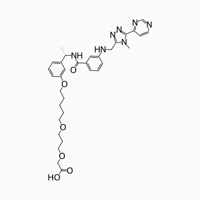 C[C@H](NC(=O)c1cccc(NCc2nnc(-c3ccncn3)n2C)c1)c1cccc(OCCCCCOCCCOCC(=O)O)c1